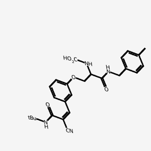 Cc1ccc(CNC(=O)C(COc2cccc(C=C(C#N)C(=O)NC(C)(C)C)c2)NC(=O)O)cc1